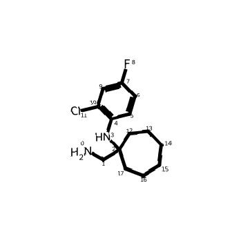 NCC1(Nc2ccc(F)cc2Cl)CCCCCC1